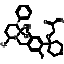 C[C@H]1CC[C@H](c2ccccc2)S(O)(O)N1Cc1cc(F)c(C2(OCC(N)=O)CCOCC2)cc1F